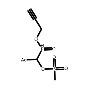 C#CCO[PH](=O)C(OS(C)(=O)=O)C(C)=O